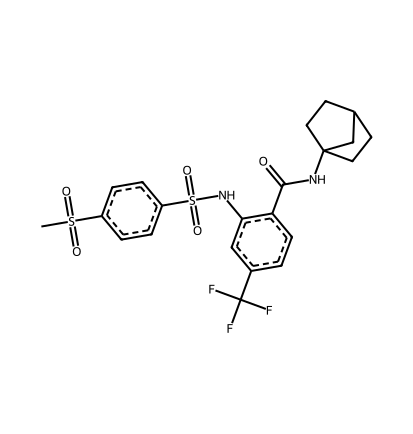 CS(=O)(=O)c1ccc(S(=O)(=O)Nc2cc(C(F)(F)F)ccc2C(=O)NC23CCC(CC2)C3)cc1